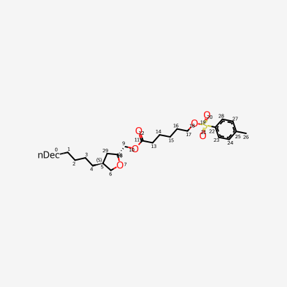 CCCCCCCCCCCCCC[C@@H]1CO[C@@H](COC(=O)CCCCCOS(=O)(=O)c2ccc(C)cc2)C1